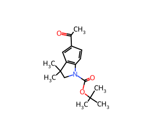 CC(=O)c1ccc2c(c1)C(C)(C)CN2C(=O)OC(C)(C)C